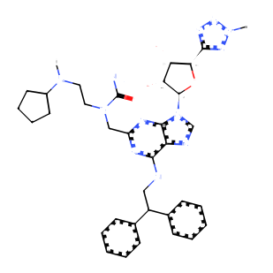 CCn1nnc([C@H]2O[C@@H](n3cnc4c(NCC(c5ccccc5)c5ccccc5)nc(CN(CCN(C(C)C)C5CCCC5)C(N)=O)nc43)[C@H](O)[C@@H]2O)n1